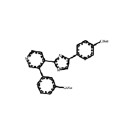 COc1ccc(-c2cnc(-c3ccncc3-c3cccc(OC)c3)o2)cc1